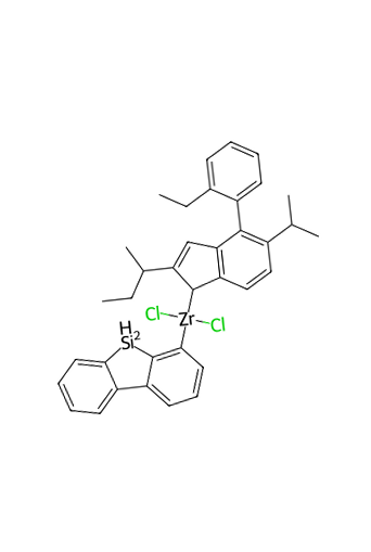 CCc1ccccc1-c1c(C(C)C)ccc2c1C=C(C(C)CC)[CH]2[Zr]([Cl])([Cl])[c]1cccc2c1[SiH2]c1ccccc1-2